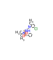 Cc1ccc(Cl)cc1N=CCNSN(C(C)C)S(=O)(=O)Cc1ccccc1